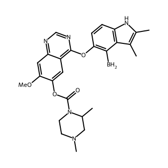 Bc1c(Oc2ncnc3cc(OC)c(OC(=O)N4CCN(C)CC4C)cc23)ccc2[nH]c(C)c(C)c12